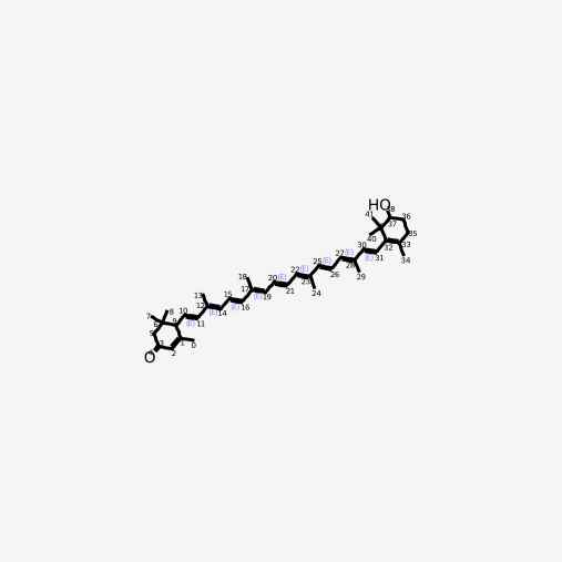 CC1=CC(=O)CC(C)(C)C1/C=C/C(C)=C/C=C/C(C)=C/C=C/C=C(C)/C=C/C=C(C)/C=C/C1=C(C)CCC(O)C1(C)C